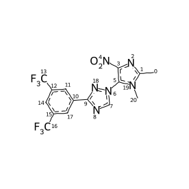 Cc1nc([N+](=O)[O-])c(-n2cnc(-c3cc(C(F)(F)F)cc(C(F)(F)F)c3)n2)n1C